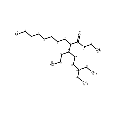 CCCCCCCCC(C(=O)OCC)N(CCO)CCN(CC)CC